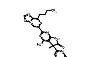 CC1(c2ccccn2)C(=O)Nc2nc(-c3cn4ncnc4c(CCCC(F)(F)F)n3)nc(O)c21